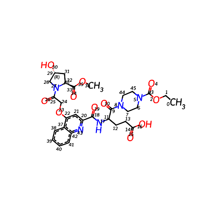 CCOC(=O)N1CCN(C(=O)C(CCC(=O)O)NC(=O)c2cc(OCC(=O)N3C[C@H](O)C[C@H]3C(=O)OC)c3ccccc3n2)CC1